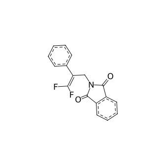 O=C1c2ccccc2C(=O)N1CC(=C(F)F)c1ccccc1